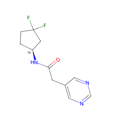 O=C(Cc1cncnc1)N[C@H]1CCC(F)(F)C1